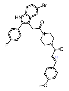 COc1ccc(/C=C/C(=O)N2CCN(C(=O)Cc3c(-c4ccc(F)cc4)[nH]c4ccc(Br)cc34)CC2)cc1